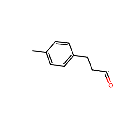 Cc1ccc(CC[C]=O)cc1